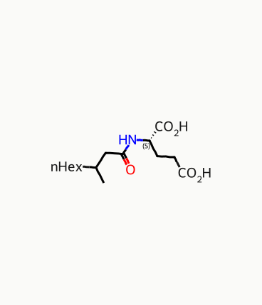 CCCCCCC(C)CC(=O)N[C@@H](CCC(=O)O)C(=O)O